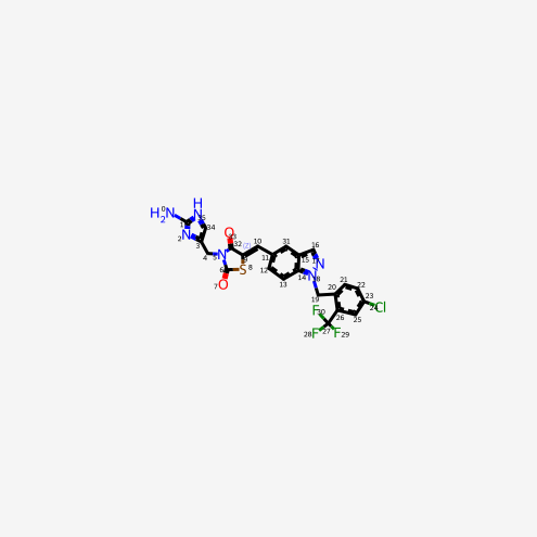 Nc1nc(CN2C(=O)S/C(=C\c3ccc4c(cnn4Cc4ccc(Cl)cc4C(F)(F)F)c3)C2=O)c[nH]1